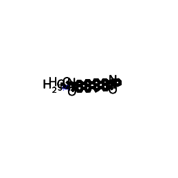 C=C/C=C\c1c(C)nc2c3ccc4c5ccc6c7ccc8c9ccc%10c%11c(ccc(c%12ccc(c%13ccc(c%14ccc(c(=O)n12)c3c%144)c5c%136)c7c%128)c9%11)c(=O)n1c2ccccc2nc%101